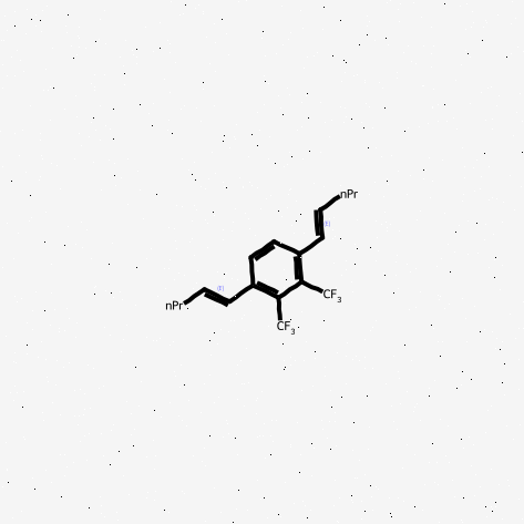 CCC/C=C/c1ccc(/C=C/CCC)c(C(F)(F)F)c1C(F)(F)F